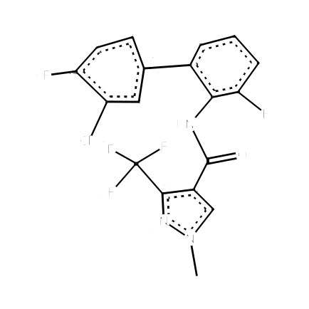 Cn1cc(C(=O)Nc2c(F)cccc2-c2ccc(F)c(Cl)c2)c(C(F)(F)F)n1